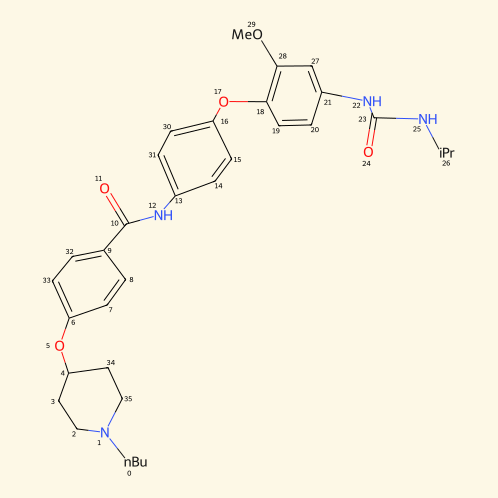 CCCCN1CCC(Oc2ccc(C(=O)Nc3ccc(Oc4ccc(NC(=O)NC(C)C)cc4OC)cc3)cc2)CC1